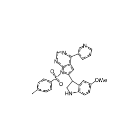 COc1ccc2c(c1)C(c1cc3c(-c4cccnc4)ncnc3n1S(=O)(=O)c1ccc(C)cc1)CN2